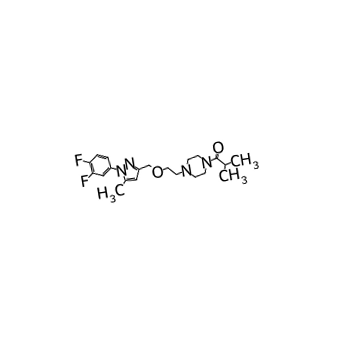 Cc1cc(COCCN2CCN(C(=O)C(C)C)CC2)nn1-c1ccc(F)c(F)c1